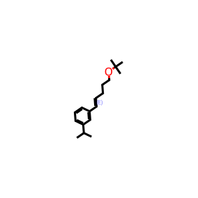 CC(C)c1cccc(/C=C/CCCOC(C)(C)C)c1